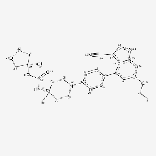 CCOc1cc(-c2ccc(N3CCC(C)(NC(=O)O[C@]4(O)CCOC4)CC3)nc2)c2c(C#N)cnn2c1